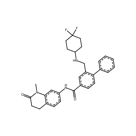 CN1C(=O)CCc2ccc(NC(=O)c3ccc(-c4ccccc4)c(CNC4CCC(F)(F)CC4)c3)cc21